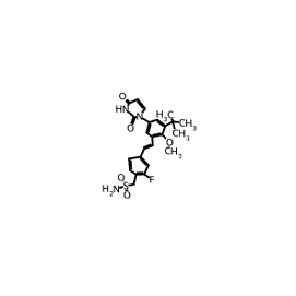 COc1c(C=Cc2ccc(CS(N)(=O)=O)c(F)c2)cc(-n2ccc(=O)[nH]c2=O)cc1C(C)(C)C